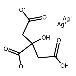 O=C([O-])CC(O)(CC(=O)O)C(=O)[O-].[Ag+].[Ag+]